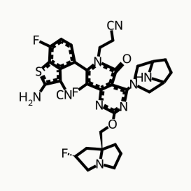 N#CCCn1c(-c2ccc(F)c3sc(N)c(C#N)c23)c(F)c2nc(OC[C@@]34CCCN3C[C@H](F)C4)nc(N3CC4CCC(C3)N4)c2c1=O